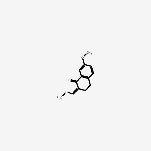 COC=C1CCc2ccc(OC)cc2C1=O